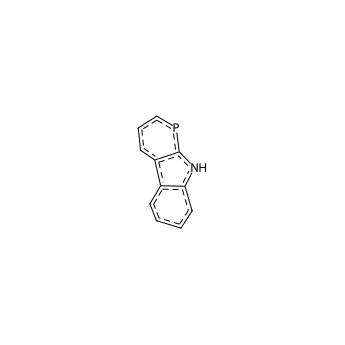 c1ccc2c(c1)[nH]c1pcccc12